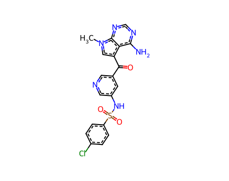 Cn1cc(C(=O)c2cncc(NS(=O)(=O)c3ccc(Cl)cc3)c2)c2c(N)ncnc21